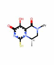 CC(C)N1C[C@H](C)n2c(S)nc(=O)c(O)c2C1=O